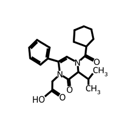 CC(C)C1C(=O)N(CC(=O)O)C(c2ccccc2)=CN1C(=O)C1CCCCC1